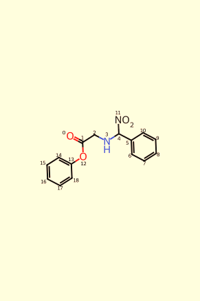 O=C(CNC(c1ccccc1)[N+](=O)[O-])Oc1ccccc1